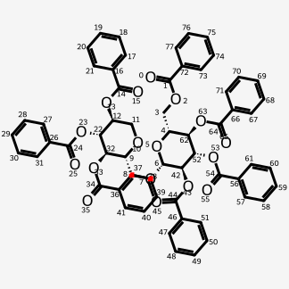 O=C(OC[C@H]1O[C@@H](OC[C@H]2OC[C@H](OC(=O)c3ccccc3)[C@@H](OC(=O)c3ccccc3)[C@@H]2OC(=O)c2ccccc2)[C@H](OC(=O)c2ccccc2)[C@@H](OC(=O)c2ccccc2)[C@@H]1OC(=O)c1ccccc1)c1ccccc1